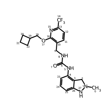 CN1Cc2c(NC(=O)NCc3ccc(C(F)(F)F)nc3OCC3CCC3)cccc2N1